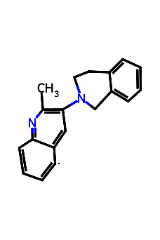 Cc1nc2ccc[c]c2cc1N1CCc2ccccc2C1